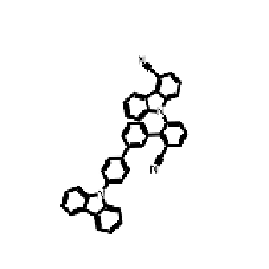 N#Cc1cccc(-n2c3ccccc3c3c(C#N)cccc32)c1-c1cccc(-c2ccc(-n3c4ccccc4c4ccccc43)cc2)c1